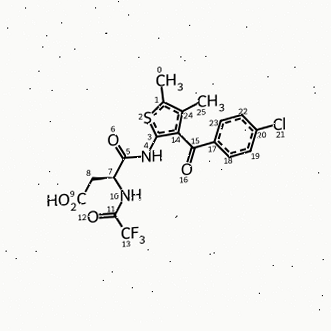 Cc1sc(NC(=O)[C@H](CC(=O)O)NC(=O)C(F)(F)F)c(C(=O)c2ccc(Cl)cc2)c1C